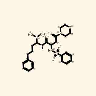 O=C(NC(CCCc1ccccc1)B(O)O)C(CC(=O)N1CCOCC1)NS(=O)(=O)c1ccccc1